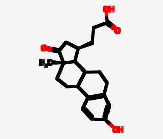 C[C@]12CCC3c4ccc(O)cc4CCC3C1[C@H](CCC(=O)O)CC2=O